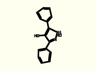 Cl.Oc1c(-c2ccccc2)n[nH]c1-c1ccccc1